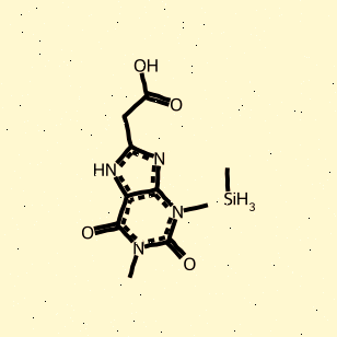 C[SiH3].Cn1c(=O)c2[nH]c(CC(=O)O)nc2n(C)c1=O